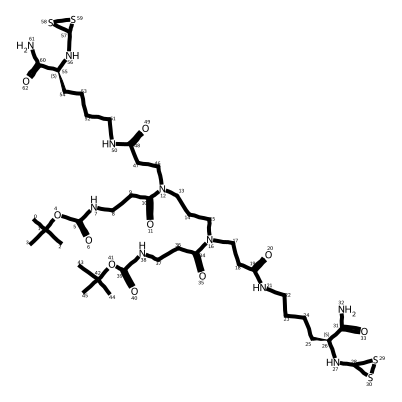 CC(C)(C)OC(=O)NCCC(=O)N(CCCN(CCC(=O)NCCCC[C@H](NC1SS1)C(N)=O)C(=O)CCNC(=O)OC(C)(C)C)CCC(=O)NCCCC[C@H](NC1SS1)C(N)=O